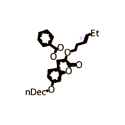 CC/C=C/CCOc1c(OC(=O)c2ccccc2)c2ccc(OCCCCCCCCCC)cc2oc1=O